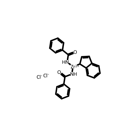 O=C([NH][Zr+2]([NH]C(=O)c1ccccc1)[CH]1C=Cc2ccccc21)c1ccccc1.[Cl-].[Cl-]